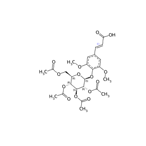 COc1cc(/C=C/C(=O)O)cc(OC)c1O[C@@H]1O[C@H](COC(C)=O)[C@@H](OC(C)=O)[C@H](OC(C)=O)[C@H]1OC(C)=O